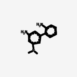 CN(C)c1cc(N)cc(-c2ccccc2N)c1